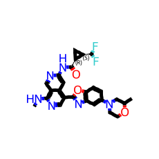 CNc1ncc(-c2nc3cc(N4CCOC(C)C4)ccc3o2)c2cc(NC(=O)[C@@H]3C[C@@H]3C(F)F)ncc12